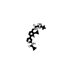 CC(C)(C)c1noc(C(=O)NCc2ccc(-c3ccnc(NC(=O)C4CC4)c3)c(F)c2C2CC2)n1